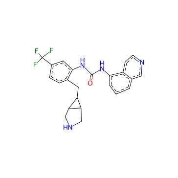 O=C(Nc1cc(C(F)(F)F)ccc1CC1C2CNCC21)Nc1cccc2cnccc12